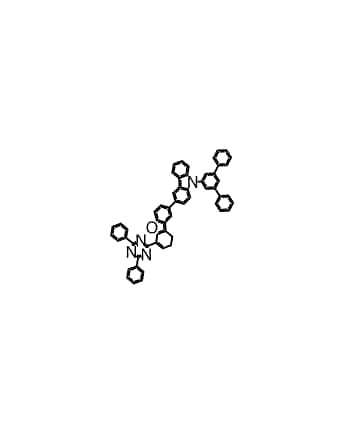 C1=C(c2nc(-c3ccccc3)nc(-c3ccccc3)n2)c2oc3ccc(-c4ccc5c(c4)c4ccccc4n5-c4cc(-c5ccccc5)cc(-c5ccccc5)c4)cc3c2CC1